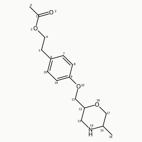 CC(=O)OCCc1ccc(OCC2CNC(C)CO2)cc1